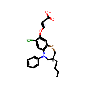 CCCC[C@@H]1CSc2cc(O/C=C/C(=O)O)c(Br)cc2N(c2ccccc2)C1